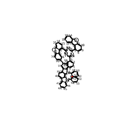 c1ccc(-c2nc(-c3cccc4oc5ccccc5c34)nc(-c3cccc4oc5ccc(-c6ccc7c(c6)c6ccc8c9ccccc9n(-c9ccccc9)c8c6n7-c6ccccc6)cc5c34)n2)cc1